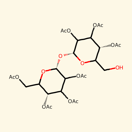 CC(=O)OCC1O[C@H](O[C@H]2OC(CO)[C@@H](OC(C)=O)C(OC(C)=O)C2OC(C)=O)C(OC(C)=O)C(OC(C)=O)[C@@H]1OC(C)=O